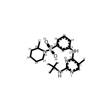 Cc1cnc(NC(C)(C)C)nc1Nc1cccc(S(=O)(=O)N2CCCCC2C)c1